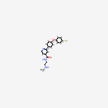 CNCCNC(=O)c1ccnc(-c2ccc(Oc3ccc(F)cc3)cc2)c1